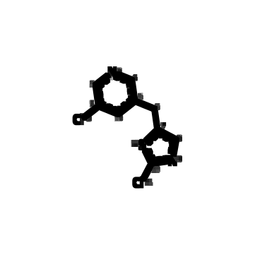 Clc1cncc(Cc2cnc(Cl)s2)c1